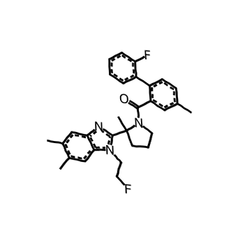 Cc1ccc(-c2ccccc2F)c(C(=O)N2CCCC2(C)c2nc3cc(C)c(C)cc3n2CCF)c1